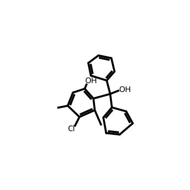 Cc1cc(O)c(C(O)(c2ccccc2)c2ccccc2)c(C)c1Cl